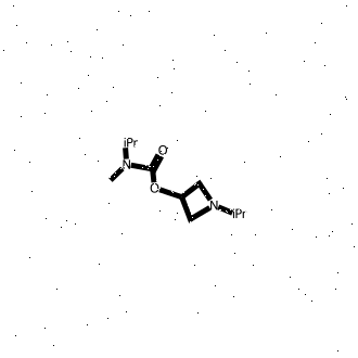 CC(C)N1CC(OC(=O)N(C)C(C)C)C1